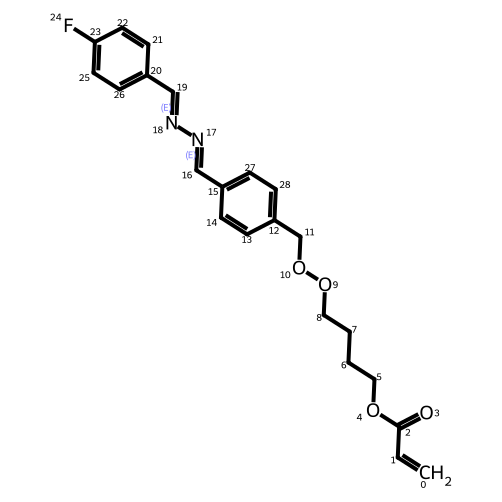 C=CC(=O)OCCCCOOCc1ccc(/C=N/N=C/c2ccc(F)cc2)cc1